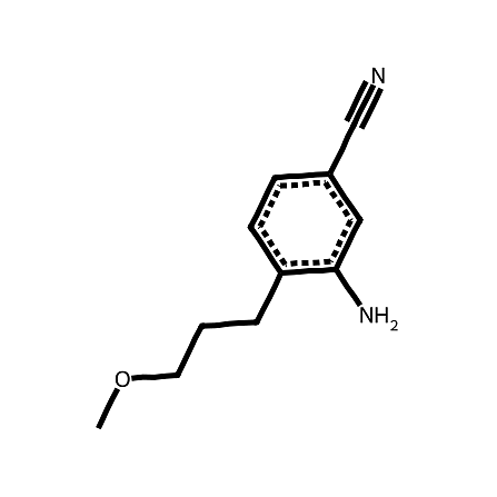 COCCCc1ccc(C#N)cc1N